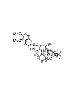 COc1ccc2c(c1OC)CCC(C(=O)N[C@@H](Cc1ccccc1)C(=O)N[C@@H](CC(C)C)B1OC(C)(C)C(C)(C)O1)C2